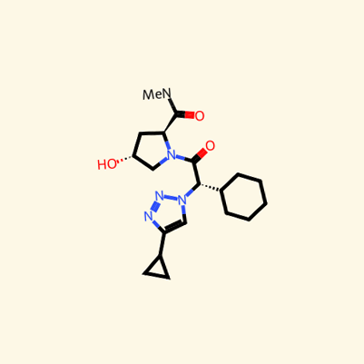 CNC(=O)[C@@H]1C[C@@H](O)CN1C(=O)[C@H](C1CCCCC1)n1cc(C2CC2)nn1